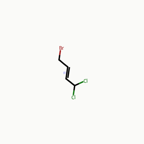 ClC(Cl)/C=C/CBr